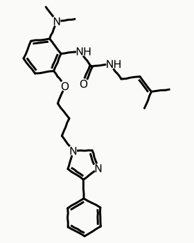 CC(C)=CCNC(=O)Nc1c(OCCCn2cnc(-c3ccccc3)c2)cccc1N(C)C